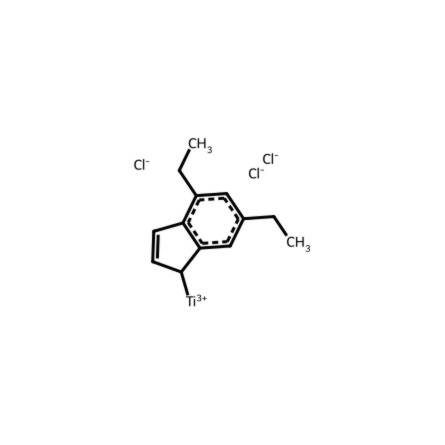 CCc1cc(CC)c2c(c1)[CH]([Ti+3])C=C2.[Cl-].[Cl-].[Cl-]